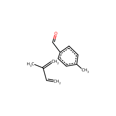 C=CC(=C)C.Cc1ccc(C=O)cc1